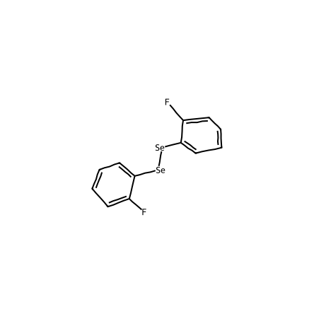 Fc1ccccc1[Se][Se]c1ccccc1F